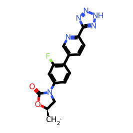 [CH2][C@@H]1CN(c2ccc(-c3ccc(-c4nn[nH]n4)nc3)c(F)c2)C(=O)O1